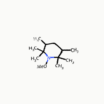 CON1C(C)(C)C(C)CC(C)C1(C)C